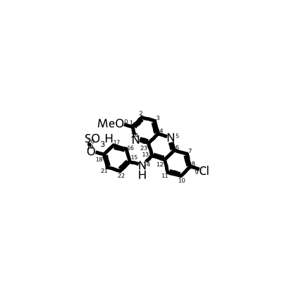 COc1ccc2nc3cc(Cl)ccc3c(Nc3ccc(OS(=O)(=O)O)cc3)c2n1